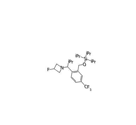 CC(C)C(c1ccc(C(F)(F)F)cc1CO[Si](C(C)C)(C(C)C)C(C)C)N1CC(F)C1